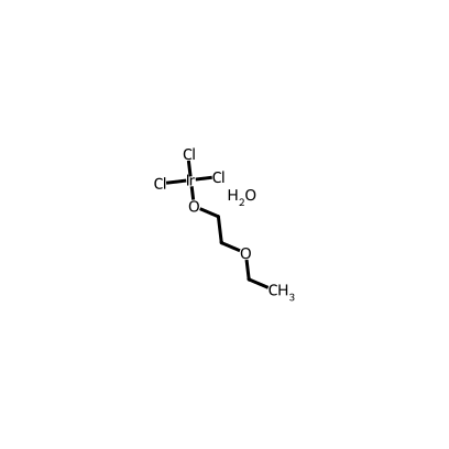 CCOCC[O][Ir]([Cl])([Cl])[Cl].O